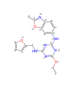 CCOc1nc(NCc2ccco2)nc(Nc2ccc3nc(C)oc3c2)n1